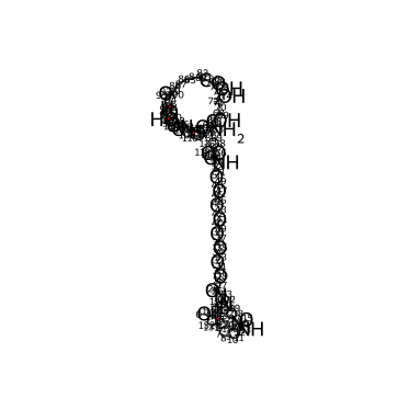 COc1ccc(-c2ccc3ccc4[nH]c(=O)n(-c5ccc(N6CCN(C(=O)CCOCCOCCOCCOCCOCCOCCOCCOCCNC(=O)O[C@@H]7CC[C@@H](C[C@@H](N)[C@@H]8C[C@@H](O)[C@H](C)/C=C(\C)[C@@H](O)[C@@H](O)C(=O)[C@H](C)C[C@H](C)/C=C/C=C/C=C(\C)[C@@H](OC)C[C@@H]9CC[C@@H](C)[C@@](O)(O9)C(=O)C(=O)N9CCCC[C@H]9C(=O)O8)C[C@H]7OC)CC6)c(C(F)(F)F)c5)c4c3c2)cc1